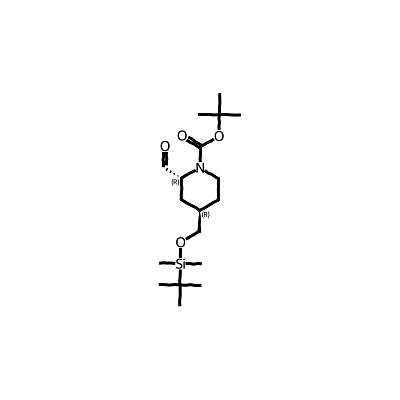 CC(C)(C)OC(=O)N1CC[C@@H](CO[Si](C)(C)C(C)(C)C)C[C@@H]1C=O